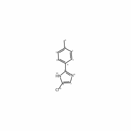 Cc1ccc(-c2ncc(Cl)[nH]2)cc1